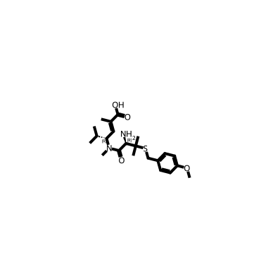 COc1ccc(CSC(C)(C)[C@H](N)C(=O)N(C)[C@@H](C=C(C)C(=O)O)C(C)C)cc1